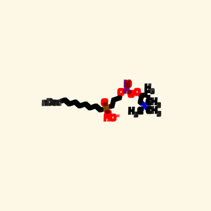 CCCCCCCCCCCCCCCCCCS(=O)(=O)CCCO[PH](=O)OOC(C)C[N+](C)(C)C.[OH-]